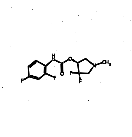 CN1C[C@H](OC(=O)Nc2ccc(F)cc2F)C(F)(F)C1